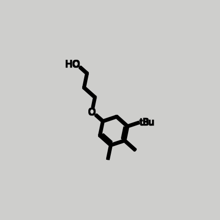 CC1=CC(OCCCO)CC(C(C)(C)C)=C1C